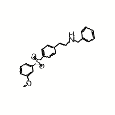 COc1cccc(S(=O)(=O)c2ccc(CCNCc3ccccc3)cc2)c1